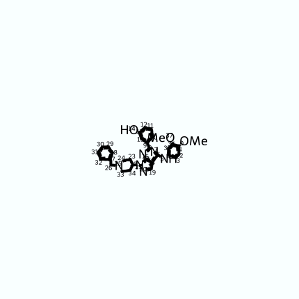 COc1ccc(Nc2nc(-c3cccc(O)c3)nc3c2cnn3C2CCN(Cc3ccccc3)CC2)cc1OC